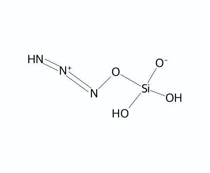 N=[N+]=NO[Si]([O-])(O)O